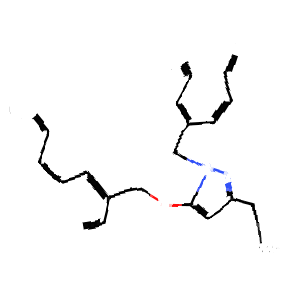 C=C/C=C\C=C(/C=C)COc1cc(CNC)nn1CC(/C=C\C=C)=C/C=C